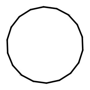 [CH]1CCCCCCCC[CH]CCCCCCCC1